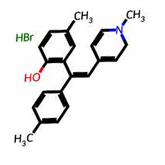 Br.Cc1ccc(C(=CC2=CCN(C)C=C2)c2cc(C)ccc2O)cc1